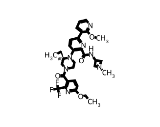 CCOc1ccc(C(=O)N2CCN(c3ccc(-c4cccnc4OC)nc3C(=O)NC3CN(C)C3)[C@H](CC)C2)c(C(F)(F)F)n1